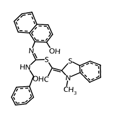 CN1C(=C(C=O)SC(=Nc2c(O)ccc3ccccc23)NCc2ccccc2)Sc2ccccc21